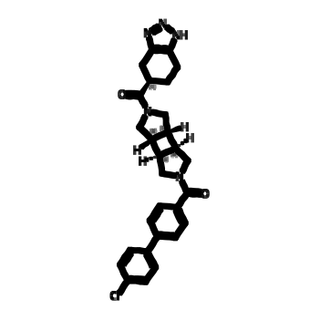 O=C(c1ccc(-c2ccc(Cl)cc2)cc1)N1C[C@@H]2[C@H](C1)[C@H]1CN(C(=O)[C@@H]3CCc4[nH]nnc4C3)C[C@@H]21